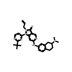 C=CCn1c(=O)c2cnc(Nc3ccc4c(c3)CC(N(C)C)CC4)cc2n1-c1ccnc(C(C)(C)C)n1